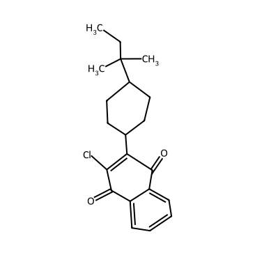 CCC(C)(C)C1CCC(C2=C(Cl)C(=O)c3ccccc3C2=O)CC1